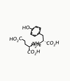 N[C@H](CCC(=O)O)C(=O)O.N[C@H](Cc1ccc(O)cc1)C(=O)O